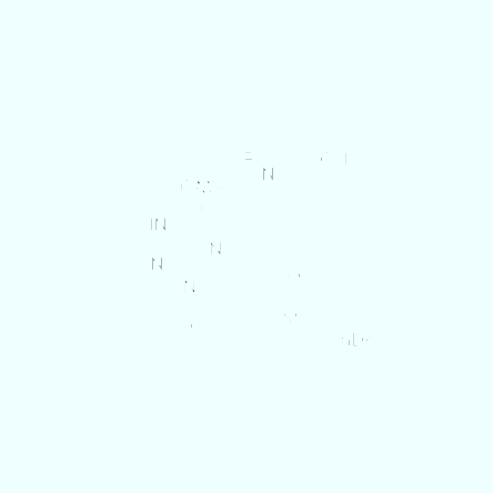 CCCCCCCCCCCCOC(=O)c1ccc(-n2c(/C(=N/c3ccc(N(CC)CCO)cc3C)C(=O)Nc3ccccc3OC)nc3ccccc3c2=O)cc1